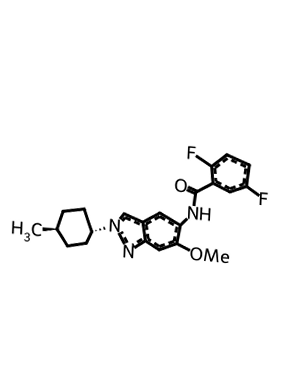 COc1cc2nn([C@H]3CC[C@H](C)CC3)cc2cc1NC(=O)c1cc(F)ccc1F